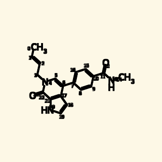 CC=CCn1cc(-c2ccc(C(=O)NC)cc2)c2cc[nH]c2c1=O